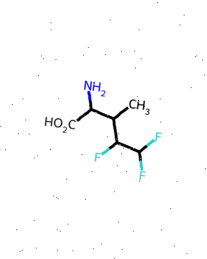 CC(C(N)C(=O)O)C(F)C(F)F